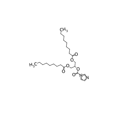 CCCCCCCCC(=O)OCC(COC(=O)CCCCCCCC)OC(=O)n1ccnc1